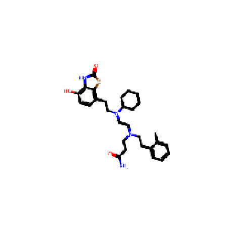 Cc1ccccc1CCN(CCC(N)=O)CCN(CCc1ccc(O)c2[nH]c(=O)sc12)C1CCCCC1